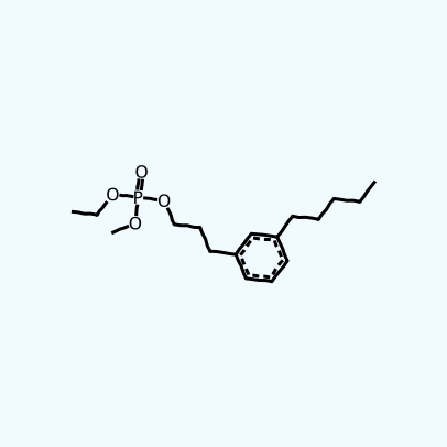 CCCCCc1cccc(CCCOP(=O)(OC)OCC)c1